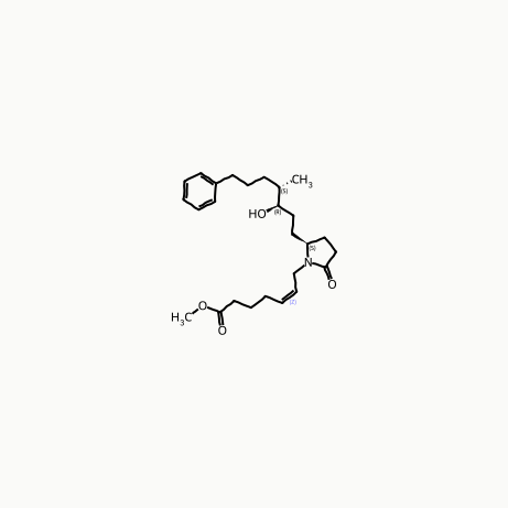 COC(=O)CCC/C=C\CN1C(=O)CC[C@@H]1CC[C@@H](O)[C@@H](C)CCCc1ccccc1